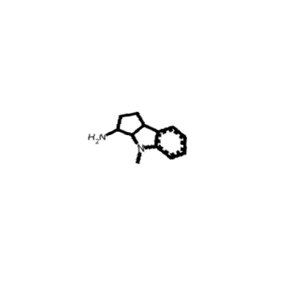 CN1c2ccccc2C2CCC(N)C21